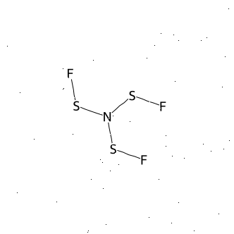 FSN(SF)SF